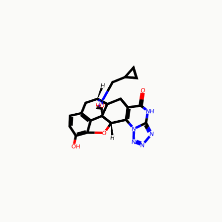 O=c1[nH]c2nnnn2c2c1C[C@@]1(O)[C@H]3Cc4ccc(O)c5c4[C@@]1(CCN3CC1CC1)[C@H]2O5